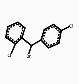 Clc1ccc(C(Br)c2ccccc2Cl)cc1